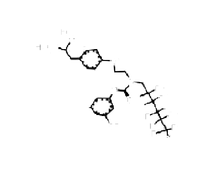 CCOC(Cc1ccc(OCCN(CC(F)(F)C(F)(F)C(F)(F)C(F)(F)C(F)(F)C(F)(F)F)C(=O)Oc2cccc(C(F)(F)F)c2)cc1)C(=O)O